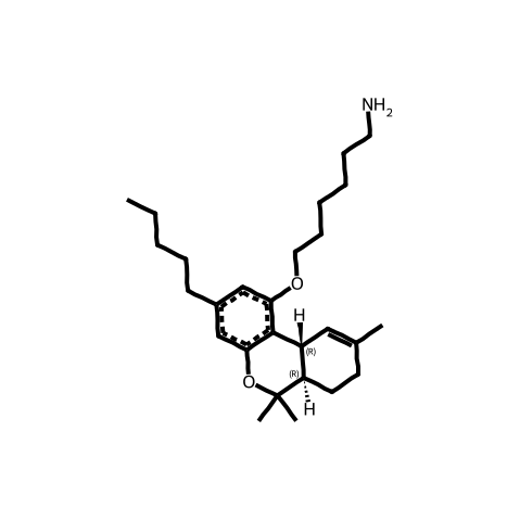 CCCCCc1cc(OCCCCCCN)c2c(c1)OC(C)(C)[C@@H]1CCC(C)=C[C@@H]21